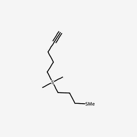 C#CCCCS(C)(C)CCCSC